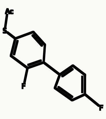 CC(=O)Sc1ccc(-c2ccc(F)cc2)c(F)c1